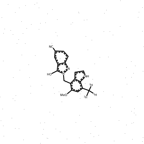 [2H]C([2H])([2H])c1cc(OC)c(Cn2nc3ccc(C#N)cc3c2O)c2cc[nH]c12